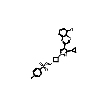 Cc1ccc(S(=O)(=O)OC[C@H]2C[C@H](n3cc(-c4cnc5c(Cl)cccc5n4)c(C4CC4)n3)C2)cc1